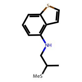 CSC(C)CNc1cccc2sccc12